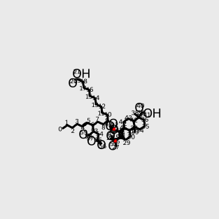 CCCC/C=C/C(CCC(CCCCCCCCCC(=O)O)OOC1C(C(C)C)C2CC3C4(C)CCCC(C)(C(=O)O)C4CCC13C1C(=O)OC(=O)C21)C1CC(=O)OC1=O